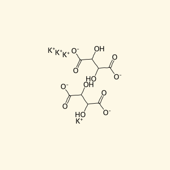 O=C([O-])C(O)C(O)C(=O)[O-].O=C([O-])C(O)C(O)C(=O)[O-].[K+].[K+].[K+].[K+]